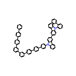 c1ccc(-c2ccc(-c3ccc(-c4cccc(-c5cccc(-c6ccc(-c7ccc(-c8ccc(-n9c%10ccccc%10c%10cc(-c%11ccc%12c(c%11)c%11ccccc%11n%12-c%11ccccc%11-c%11ccccc%11)ccc%109)cc8)cc7)cc6)c5)c4)cc3)cc2)cc1